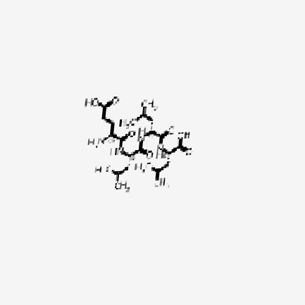 CC(C)C[C@H](NC(=O)[C@@H](CC(C)C)NC(=O)[C@H](CC(C)C)NC(=O)[C@@H](N)CCC(=O)O)C(=O)O